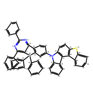 c1ccc(-c2nc(-c3ccccc3)c3c(n2)-c2ccc(-n4c5ccccc5c5c6c(ccc54)sc4ccccc46)cc2[Si]3(c2ccccc2)c2ccccc2)cc1